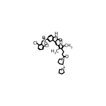 Cc1[nH]c(/C=C2\C(=O)Nc3ccc(S(=O)(=O)Cc4c(Cl)cccc4Cl)cc32)c(C)c1CCC(=O)N1CCC[C@@H](CN2CCCC2)C1